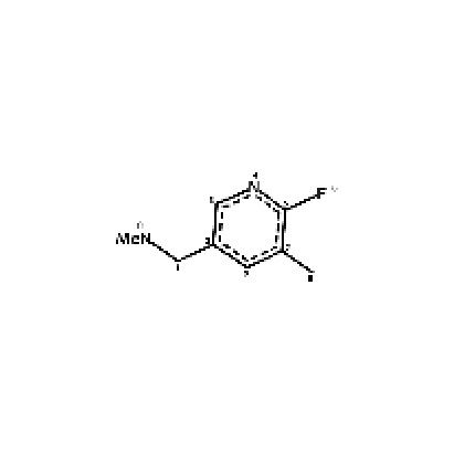 CNCc1cnc(F)c(C)c1